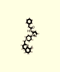 O=C(Cc1ccccc1)Nc1ccnn1C1CCN(Cc2ccc3cccc(F)c3n2)CC1